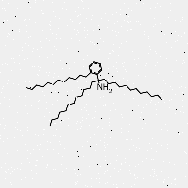 CCCCCCCCCCCCc1ccccc1C(N)(CCCCCCCCCCCC)CCCCCCCCCCCC